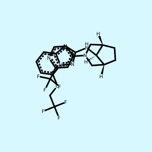 FC(F)(F)COc1cccc2nc(N[C@@H]3[C@@H]4CC[C@H]3CN(c3ccnc(C(F)(F)F)c3)C4)nn12